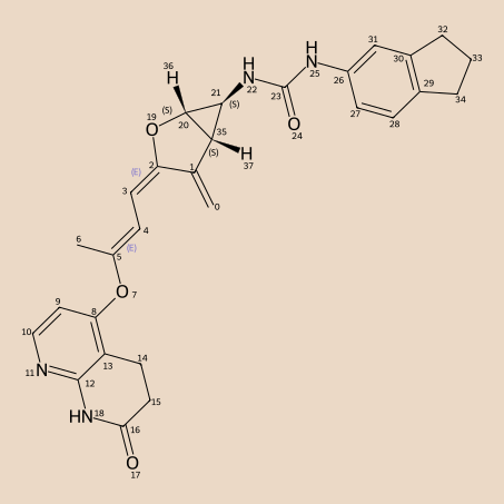 C=C1/C(=C\C=C(/C)Oc2ccnc3c2CCC(=O)N3)O[C@@H]2[C@@H](NC(=O)Nc3ccc4c(c3)CCC4)[C@H]12